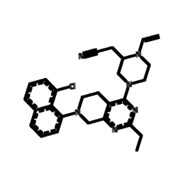 C=CN1CCN(c2nc(CC)nc3c2CCN(c2cccc4cccc(Cl)c24)C3)CC1CC#N